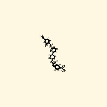 Cn1c(CN2CCC(c3cccc(OCc4ccc(C#N)cc4F)n3)CC2)nc2ccc(C(=O)O)cc21